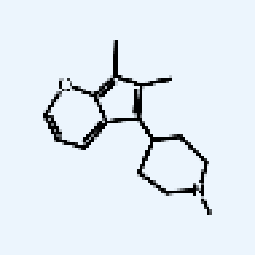 Cc1c2occcc-2c(C2CCN(C)CC2)c1C